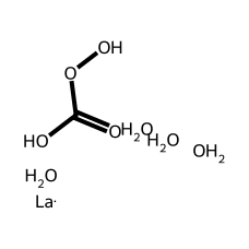 O.O.O.O.O=C(O)OO.[La]